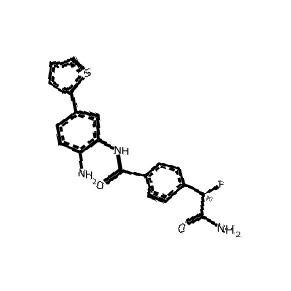 NC(=O)[C@H](F)c1ccc(C(=O)Nc2cc(-c3cccs3)ccc2N)cc1